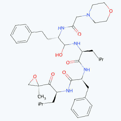 CC(C)C[C@H](NC(O)[C@H](CCc1ccccc1)NC(=O)CN1CCOCC1)C(=O)N[C@@H](Cc1ccccc1)C(=O)N[C@@H](CC(C)C)C(=O)[C@@]1(C)CO1